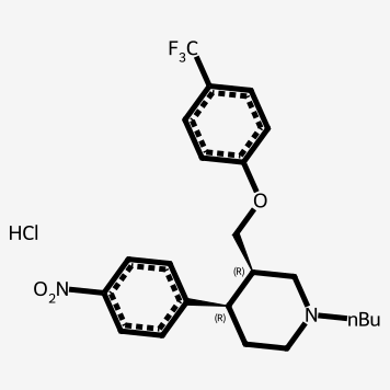 CCCCN1CC[C@@H](c2ccc([N+](=O)[O-])cc2)[C@@H](COc2ccc(C(F)(F)F)cc2)C1.Cl